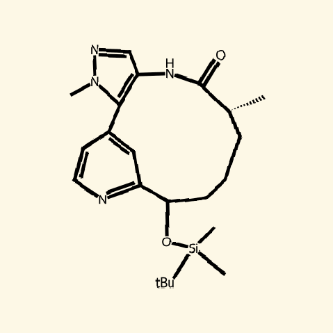 C[C@@H]1CCCC(O[Si](C)(C)C(C)(C)C)c2cc(ccn2)-c2c(cnn2C)NC1=O